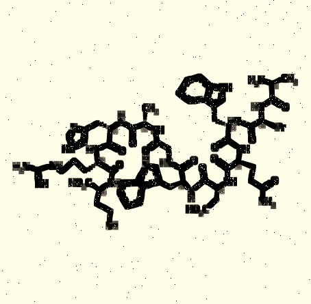 CC(C)[C@H](NC(=O)[C@H](C)N)C(=O)N[C@@H](Cc1c[nH]c2ccccc12)C(=O)N[C@@H](CCC(N)=O)C(=O)N[C@@H](CC(=O)O)C(=O)N[C@@H](Cc1c[nH]c2ccccc12)C(=O)NCC(=O)N[C@@H](C)C(=O)N[C@@H](Cc1c[nH]cn1)C(=O)N[C@@H](CCCNC(=N)N)C(=O)N[C@@H](CCS)C(=O)O